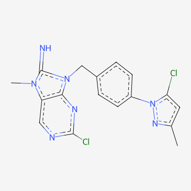 Cc1cc(Cl)n(-c2ccc(Cn3c(=N)n(C)c4cnc(Cl)nc43)cc2)n1